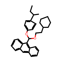 CCC(C)c1ccc(OC(OCCC2CCCCC2)c2c3ccccc3cc3ccccc23)cc1